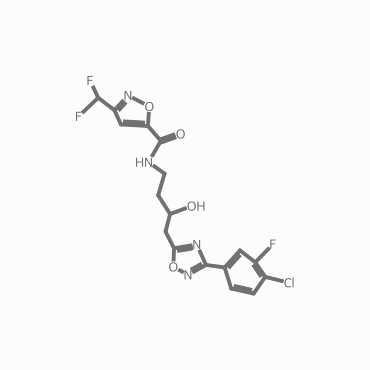 O=C(NCCC(O)Cc1nc(-c2ccc(Cl)c(F)c2)no1)c1cc(C(F)F)no1